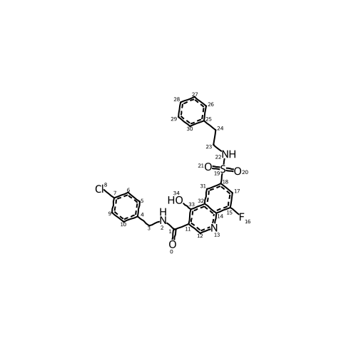 O=C(NCc1ccc(Cl)cc1)c1cnc2c(F)cc(S(=O)(=O)NCCc3ccccc3)cc2c1O